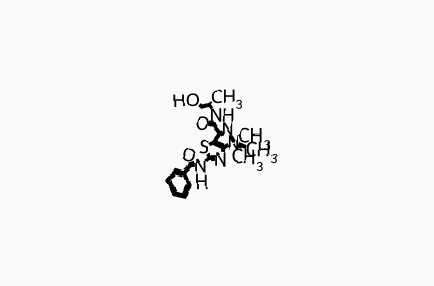 C[C@@H](CO)NC(=O)c1nn(C(C)(C)C)c2nc(NC(=O)c3ccccc3)sc12